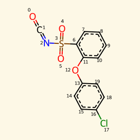 O=C=NS(=O)(=O)c1ccccc1Oc1ccc(Cl)cc1